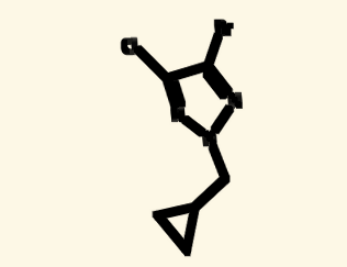 Clc1nn(CC2CC2)nc1Br